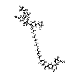 CNc1nc(Nc2ccc(C(=O)N3CCN(CCOCCOCCOCCOCCOc4cc(-c5scnc5C)ccc4CNC(=O)[C@@H]4C[C@@H](O)CN4C(=O)[C@@H](NC(=O)C4(F)CC4)C(C)(C)C)CC3)cc2OC)ncc1Cl